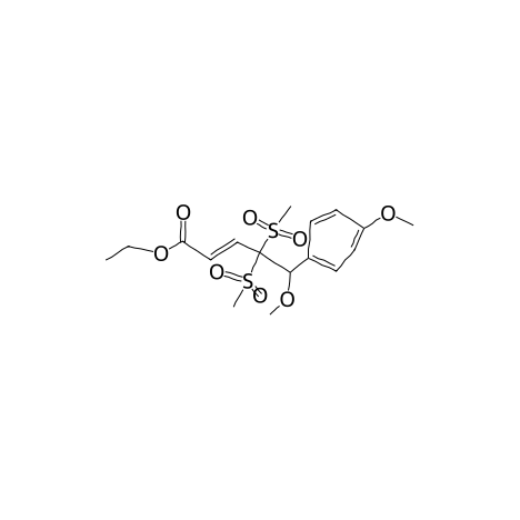 CCOC(=O)C=CC(C(OC)c1ccc(OC)cc1)(S(C)(=O)=O)S(C)(=O)=O